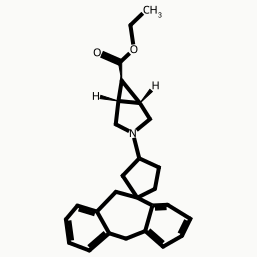 CCOC(=O)[C@H]1[C@@H]2CN(C3CCC4(Cc5ccccc5Cc5ccccc54)C3)C[C@@H]21